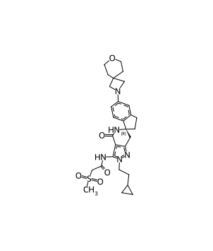 CS(=O)(=O)CC(=O)Nc1c2c(nn1CCC1CC1)C[C@@]1(CCc3cc(N4CC5(CCOCC5)C4)ccc31)NC2=O